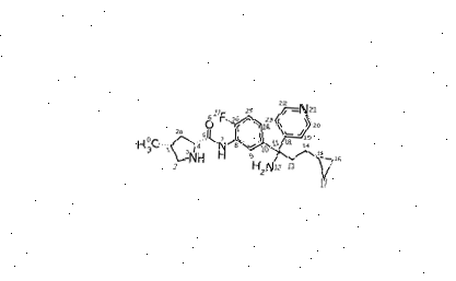 C[C@H]1CN[C@@H](C(=O)Nc2cc(C(N)(CCC3CC3)c3ccncc3)ccc2F)C1